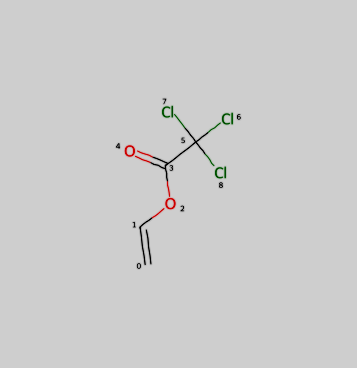 C=COC(=O)C(Cl)(Cl)Cl